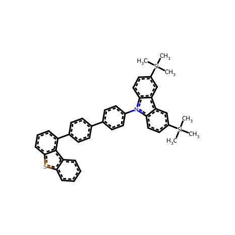 C[Si](C)(C)c1ccc2c(c1)c1cc([Si](C)(C)C)ccc1n2-c1ccc(-c2ccc(-c3cccc4sc5ccccc5c34)cc2)cc1